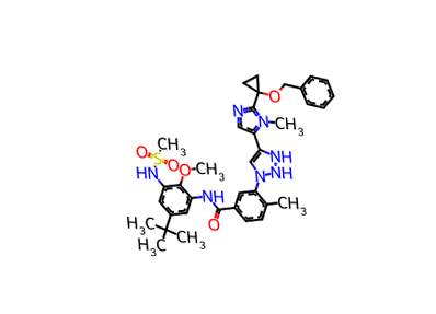 COc1c(NC(=O)c2ccc(C)c(N3C=C(c4cnc(C5(OCc6ccccc6)CC5)n4C)NN3)c2)cc(C(C)(C)C)cc1NS(C)(=O)=O